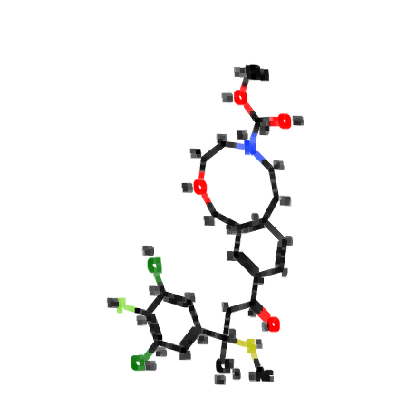 CC(=O)SC(CC(=O)c1ccc2c(c1)COCCN(C(=O)OC(C)(C)C)CC2)(c1cc(Cl)c(F)c(Cl)c1)C(F)(F)F